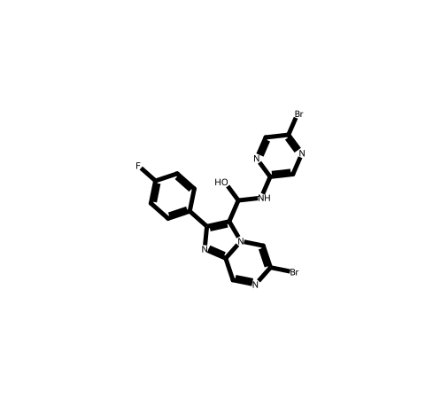 OC(Nc1cnc(Br)cn1)c1c(-c2ccc(F)cc2)nc2cnc(Br)cn12